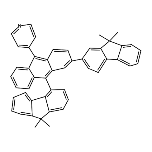 CC1(C)c2ccccc2-c2ccc(-c3ccc4c(-c5ccncc5)c5ccccc5c(-c5cccc6c5-c5ccccc5C6(C)C)c4c3)cc21